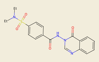 CCN(CC)S(=O)(=O)c1ccc(C(=O)Nn2cnc3ccccc3c2=O)cc1